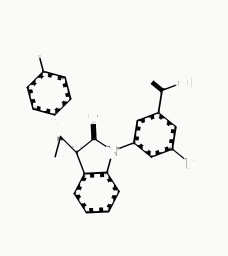 O=C(O)c1cc(Br)cc(N2C(=O)[C@@]3(C[C@@H]3c3ccc(Cl)cc3)c3ccccc32)c1